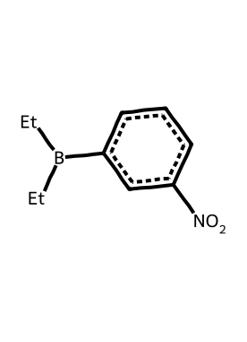 CCB(CC)c1cccc([N+](=O)[O-])c1